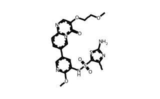 COCCOc1cnc2ccc(-c3cnc(OC)c(NS(=O)(=O)c4sc(N)nc4C)c3)cn2c1=O